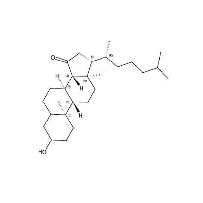 CC(C)CCC[C@@H](C)[C@H]1CC(=O)[C@H]2[C@@H]3CCC4CC(O)CC[C@]4(C)[C@H]3CC[C@]12C